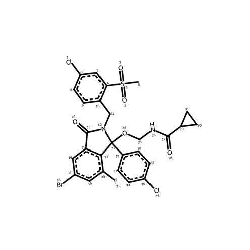 CS(=O)(=O)c1cc(Cl)ccc1CN1C(=O)c2cc(Br)cc(F)c2C1(OCNC(=O)C1CC1)c1ccc(Cl)cc1